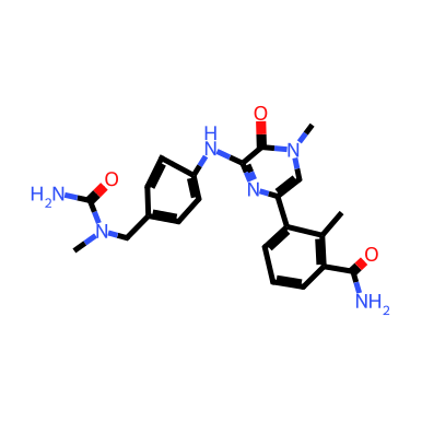 Cc1c(C(N)=O)cccc1-c1cn(C)c(=O)c(Nc2ccc(CN(C)C(N)=O)cc2)n1